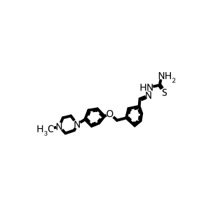 CN1CCN(c2ccc(OCc3cccc(C=NNC(N)=S)c3)cc2)CC1